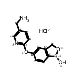 Cl.NCc1ccc(Oc2ccc3c(c2)COB3O)nc1